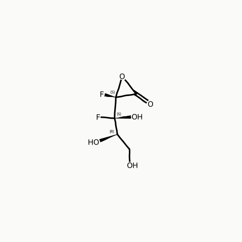 O=C1O[C@@]1(F)[C@@](O)(F)[C@H](O)CO